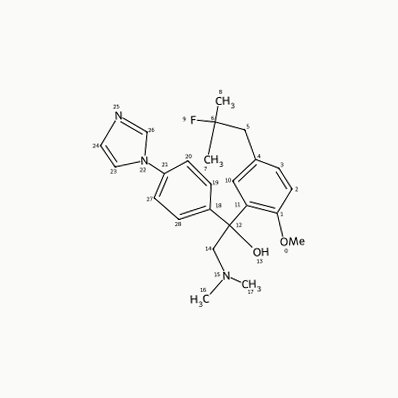 COc1ccc(CC(C)(C)F)cc1C(O)(CN(C)C)c1ccc(-n2ccnc2)cc1